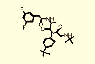 C[C@H](NC(=O)Cc1cc(F)cc(F)c1)C(=O)N(C(=O)CNC(C)(C)C)c1ccc(C(C)(C)C)cc1